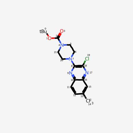 CC(C)(C)OC(=O)N1CCN(c2nc3ccc(C(F)(F)F)cc3nc2Cl)CC1